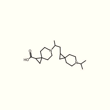 CC(C)N1CCC2(CC1)CC2CC(C)N1CCC2(CC1)CC2C(=O)O